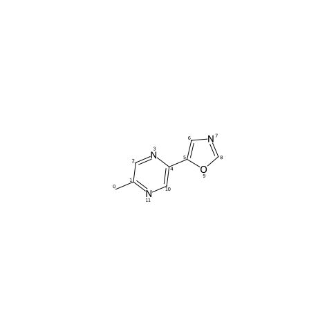 Cc1cnc(-c2cnco2)cn1